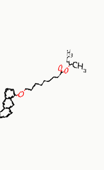 CC(C)OC(=O)CCCCCCCCOc1cccc2cc3ccccc3cc12